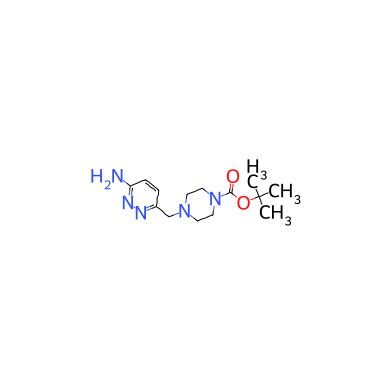 CC(C)(C)OC(=O)N1CCN(Cc2ccc(N)nn2)CC1